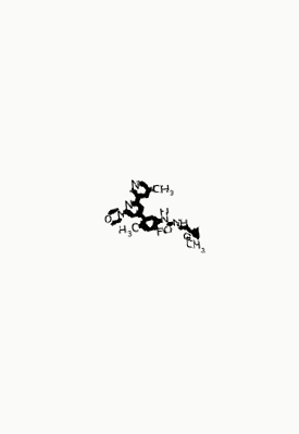 COC1(CCNC(=O)Nc2cc(-c3cc(C4=CC(C)CN=C4)nc(N4CCOCC4)c3)c(C)cc2F)CC1